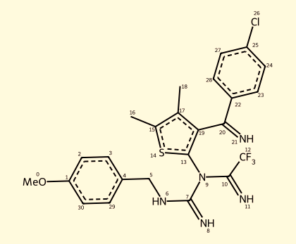 COc1ccc(CNC(=N)N(C(=N)C(F)(F)F)c2sc(C)c(C)c2C(=N)c2ccc(Cl)cc2)cc1